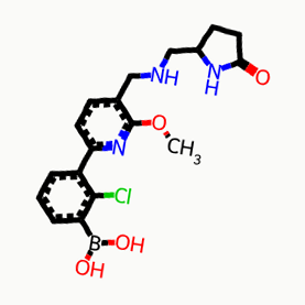 COc1nc(-c2cccc(B(O)O)c2Cl)ccc1CNCC1CCC(=O)N1